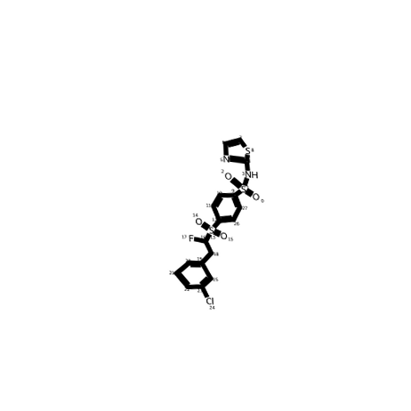 O=S(=O)(Nc1nccs1)c1ccc(S(=O)(=O)C(F)Cc2cccc(Cl)c2)cc1